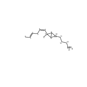 C/C=C/C/C=C\C1(C)C2C1N2CCCN